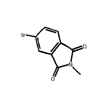 CN1C(=O)c2ccc(Br)cc2C1=O